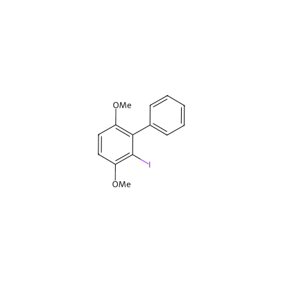 COc1ccc(OC)c(-c2ccccc2)c1I